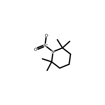 CC1(C)CCCC(C)(C)N1[N+]([O])=O